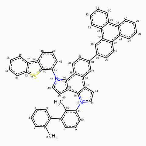 Cc1ccccc1-c1cccc(-n2ccc3c4cc(-c5ccc6c7ccccc7c7ccccc7c6c5)ccc4c4c(ccn4-c4cccc5c4sc4ccccc45)c32)c1C